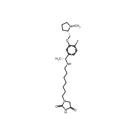 C[C@@H](NCCCCCCCN1CC(=O)NC1=O)c1ccc(F)c(OC[C@@H]2CCCN2C)c1